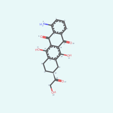 Nc1cccc2c1C(=O)c1c(O)c3c(c(O)c1C2=O)C[C@@H](C(=O)CO)CC3